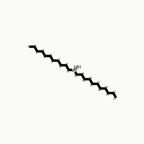 CCCCCCCCCC[CH2][Al][CH2]CCCCCCCCCC.[HH]